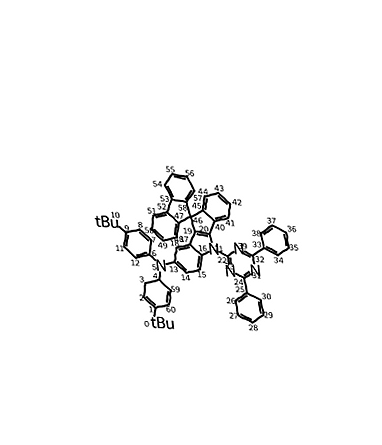 CC(C)(C)C1=CCC(N(c2ccc(C(C)(C)C)cc2)c2ccc3c(c2)c2c(n3-c3nc(-c4ccccc4)nc(-c4ccccc4)n3)-c3ccccc3C23c2ccccc2-c2ccccc23)C=C1